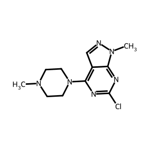 CN1CCN(c2nc(Cl)nc3c2cnn3C)CC1